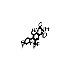 O=c1[nH]c(=O)c2cc(C(F)(F)F)c(C3CCC(F)(F)CC3)c(I)c2[nH]1